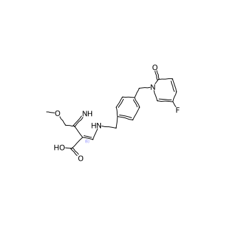 COCC(=N)/C(=C\NCc1ccc(Cn2cc(F)ccc2=O)cc1)C(=O)O